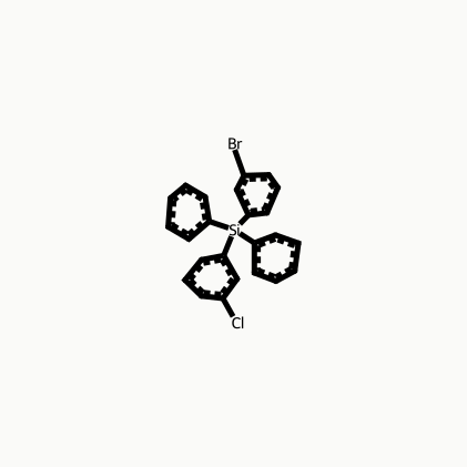 Clc1cccc([Si](c2ccccc2)(c2ccccc2)c2cccc(Br)c2)c1